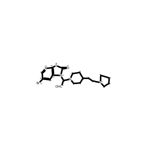 O=CC(N1CCC(CCN2CCCC2)CC1)n1c(=O)sc2ncc(Br)cc21